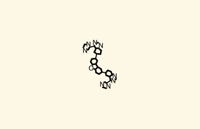 c1cnc(-c2ncnc3ccc(-c4ccc5oc6ccc(-c7ccc8ncnc(-c9cnccn9)c8c7)cc6c5c4)cc23)cn1